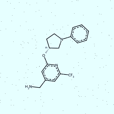 NCc1cc(O[C@@H]2CCN(c3ccccc3)C2)nc(C(F)(F)F)c1